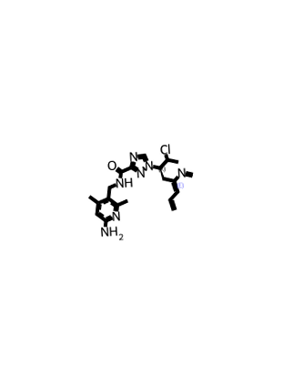 C=C/C=C(\C[C@H](C(C)Cl)n1cnc(C(=O)NCc2c(C)cc(N)nc2C)n1)N=C